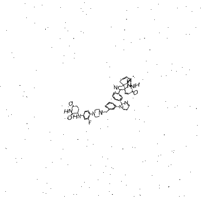 N#CC1(C2(Cc3cccc(C4N=CC=CN4c4cccc(CN5CCN(c6ccc(NC7CCC(=O)NC7=O)cc6F)CC5)c4)c3)C=CC(=O)NN2)C=CC=CC1